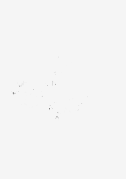 CCCCCc1ccc(C(=O)N(Cc2ccc(C(=O)O)cc2)C2CCN(CCC(C)C)CC2)cc1